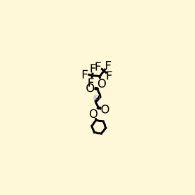 O=C(/C=C/C(=O)OC(C(F)(F)F)C(F)(F)F)OC1CCCCC1